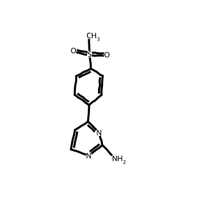 CS(=O)(=O)c1ccc(-c2ccnc(N)n2)cc1